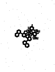 CC1=Cc2c(-c3cccc4ccccc34)cccc2[CH]1[Zr]([O]c1ccc(C)cc1C(C)(C)C)([O]c1ccc(C)cc1C(C)(C)C)([CH]1C(C)=Cc2c(-c3cccc4ccccc34)cccc21)[SiH](C)C